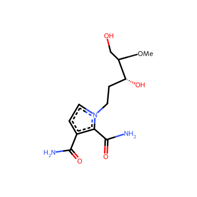 COC(CO)[C@H](O)CCn1ccc(C(N)=O)c1C(N)=O